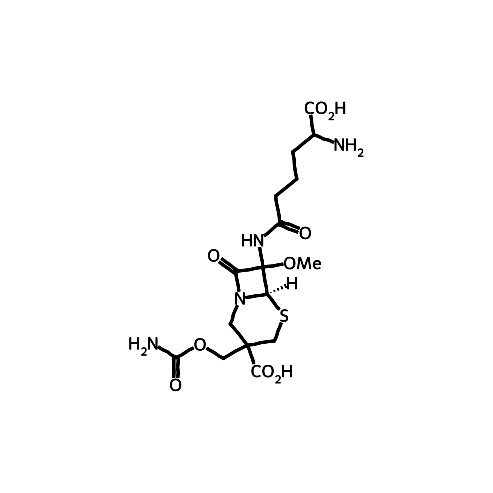 COC1(NC(=O)CCCC(N)C(=O)O)C(=O)N2CC(COC(N)=O)(C(=O)O)CS[C@@H]21